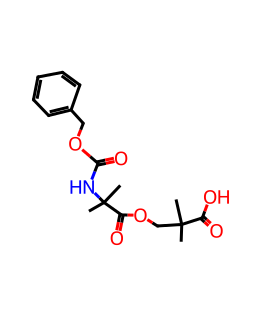 CC(C)(COC(=O)C(C)(C)NC(=O)OCc1ccccc1)C(=O)O